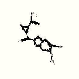 COc1cc2sc(C(=O)[C@H]3C[C@H]3C(C)=O)cc2cc1Br